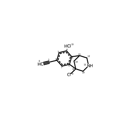 C#Cc1ccc2c(c1)C1(Cl)CNCC2C1.Cl